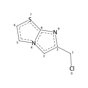 ClCc1cn2ccsc2n1